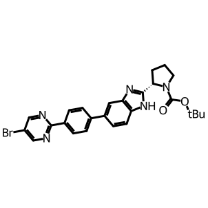 CC(C)(C)OC(=O)N1CCC[C@H]1c1nc2cc(-c3ccc(-c4ncc(Br)cn4)cc3)ccc2[nH]1